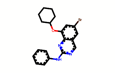 Brc1cc(OC2CCCCC2)c2nc(Nc3ccccc3)ncc2c1